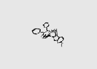 O=C(NC(c1ccccc1)C(O)c1ccccc1)C1Cc2cc(F)ccc2N1